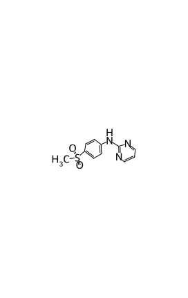 CS(=O)(=O)c1ccc(Nc2ncccn2)cc1